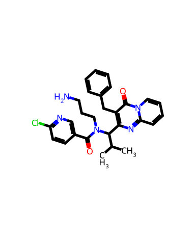 CC(C)C(c1nc2ccccn2c(=O)c1Cc1ccccc1)N(CCCN)C(=O)c1ccc(Cl)nc1